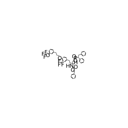 CC(CCc1ccc(OCCCc2cccc(OC(F)(F)F)c2)c(C(F)(F)F)c1)(CO[PH](=O)C(Cc1ccccc1)c1ccccc1)NC(=O)OCc1ccccc1